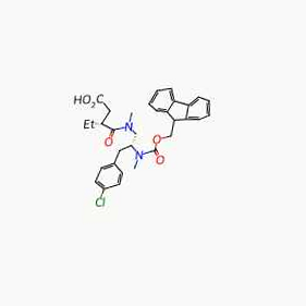 CC[C@H](CC(=O)O)C(=O)N(C)C[C@@H](Cc1ccc(Cl)cc1)N(C)C(=O)OCC1c2ccccc2-c2ccccc21